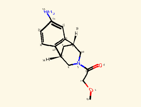 COCC(=O)N1C[C@H]2C[C@@H](C1)c1cc(N)ccc12